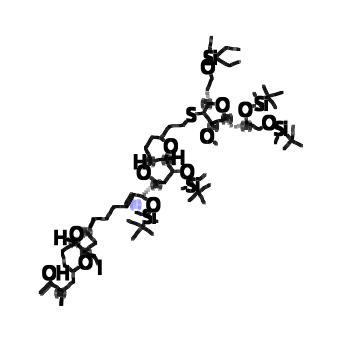 C=C(O)[C@H](C)CC1CC[C@@H]2O[C@@H](CCC/C=C/C(O[Si](C)(C)C(C)(C)C)[C@H]3CC(O[Si](C)(C)C(C)(C)C)[C@H]4OC(CCSC5[C@H](CCO[Si](CC)(CC)CC)O[C@H](C[C@@H](CO[Si](C)(C)C(C)(C)C)O[Si](C)(C)C(C)(C)C)[C@@H]5OC)CC[C@@H]4O3)C[C@]2(CI)O1